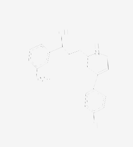 COc1cccc(C(O)CCC2CC(c3ccc(Cl)cc3)=CCN2)c1